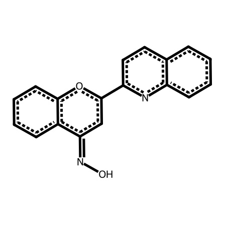 O/N=c1\cc(-c2ccc3ccccc3n2)oc2ccccc12